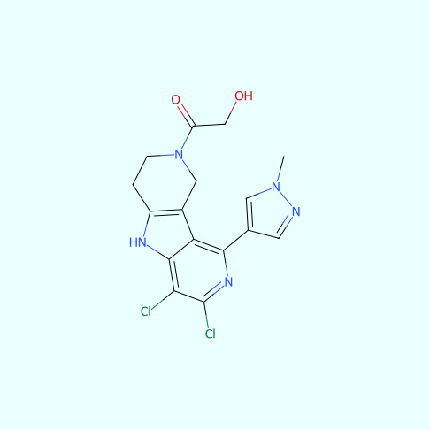 Cn1cc(-c2nc(Cl)c(Cl)c3[nH]c4c(c23)CN(C(=O)CO)CC4)cn1